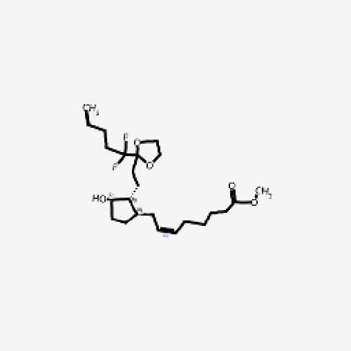 CCCCC(F)(F)C1(CC[C@@H]2[C@@H](C/C=C\CCCCC(=O)OC)CC[C@H]2O)OCCO1